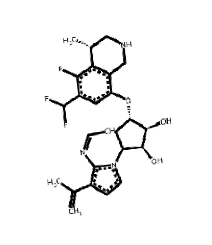 C=C(C)c1ccn(C2C[C@H](Oc3cc(C(F)F)c(F)c4c3CNC[C@H]4C)[C@@H](O)[C@H]2O)c1/N=C\C